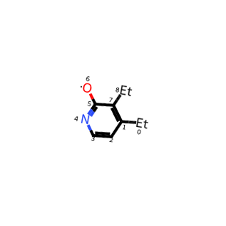 CCc1ccnc([O])c1CC